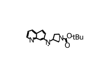 CN(c1ccc2cccnc2c1)C1CCN(C(=O)OC(C)(C)C)C1